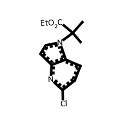 CCOC(=O)C(C)(C)n1ccc2nc(Cl)ccc21